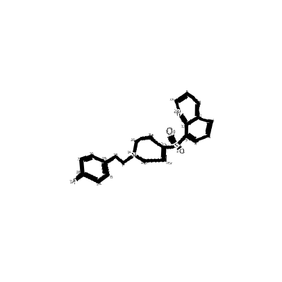 O=S(=O)(c1cccc2cccnc12)C1CCN(CCc2ccc(F)cc2)CC1